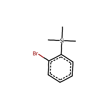 C[Si](C)(C)c1ccccc1Br